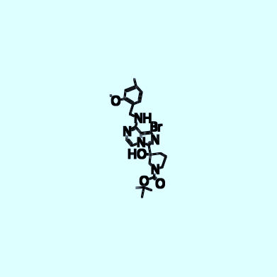 COc1cc(C)ccc1CNc1nccn2c([C@]3(O)CCCN(C(=O)OC(C)(C)C)C3)nc(Br)c12